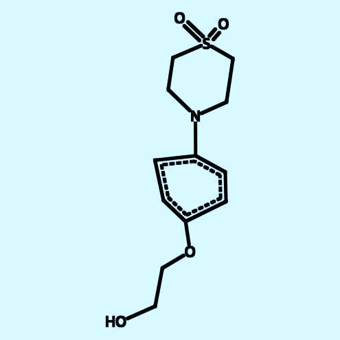 O=S1(=O)CCN(c2ccc(OCCO)cc2)CC1